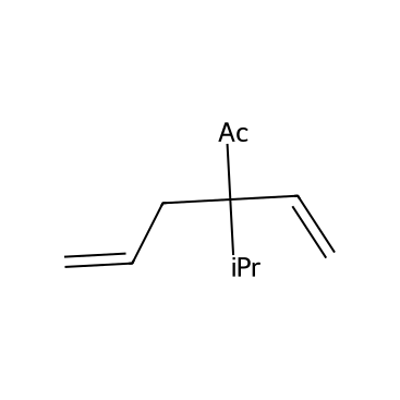 C=CCC(C=C)(C(C)=O)C(C)C